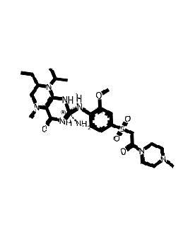 CCC1CN(C)C2=C(N[C@@](N)(Nc3ccc(S(=O)(=O)CC(=O)N4CCN(C)CC4)cc3OC)NC2=O)N1C(C)C